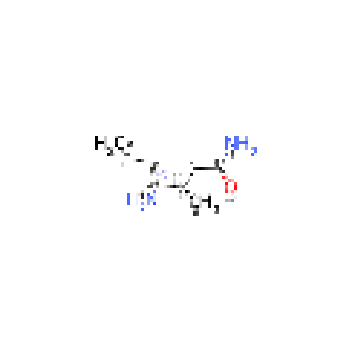 C=C/C=C(\N)[C@H](C)CC(N)=O